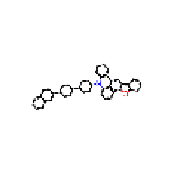 c1ccc(N(c2ccc(-c3ccc(-c4ccc5ccccc5c4)cc3)cc2)c2ccccc2-c2ccc3oc4ccccc4c3c2)cc1